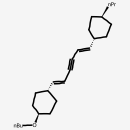 CCCCO[C@H]1CC[C@H](C=CC#CC=C[C@H]2CC[C@H](CCC)CC2)CC1